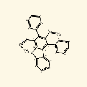 C=Nc1c(-c2ccccc2)c(/C=N\C)c2oc3ccccc3c2c1-c1ccccc1